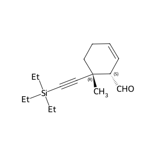 CC[Si](C#C[C@]1(C)CCC=C[C@@H]1C=O)(CC)CC